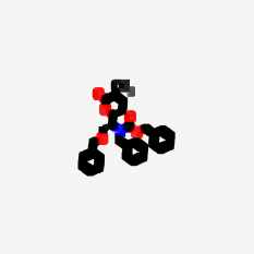 CC1CC[C@@H]([C@@H](COCc2ccccc2)N(Cc2ccccc2)C(=O)OCc2ccccc2)OC1=O